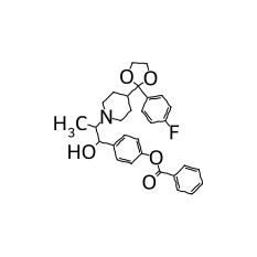 CC(C(O)c1ccc(OC(=O)c2ccccc2)cc1)N1CCC(C2(c3ccc(F)cc3)OCCO2)CC1